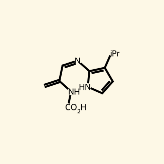 C=C(/C=N\c1[nH]ccc1C(C)C)NC(=O)O